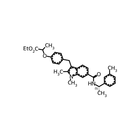 CCOC(=O)C(C)Oc1ccc(Cc2c(C)n(C)c3cc(C(=O)N[C@@H](C)c4cccc(C)c4)ccc23)cc1